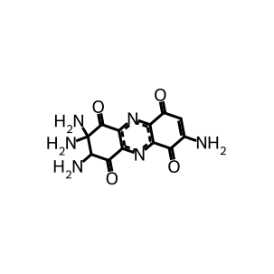 NC1=CC(=O)c2nc3c(nc2C1=O)C(=O)C(N)C(N)(N)C3=O